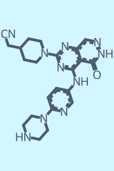 N#CCC1CCN(c2nc(Nc3ccc(N4CCNCC4)nc3)c3c(=O)[nH]ncc3n2)CC1